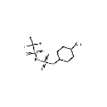 O=S(=O)(NS(=O)(=O)C(F)(F)F)OC1CCC(O)CC1